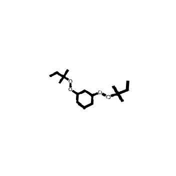 CCC(C)(C)OOC1CCCC(OOC(C)(C)CC)C1